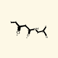 CCC(=O)CC(=O)NCC(C)C